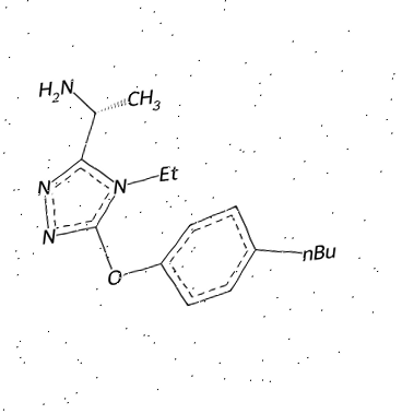 CCCCc1ccc(Oc2nnc([C@@H](C)N)n2CC)cc1